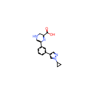 O=C(O)C1=NC(c2cccc(-c3cnn(C4CC4)c3)c2)=CNC1